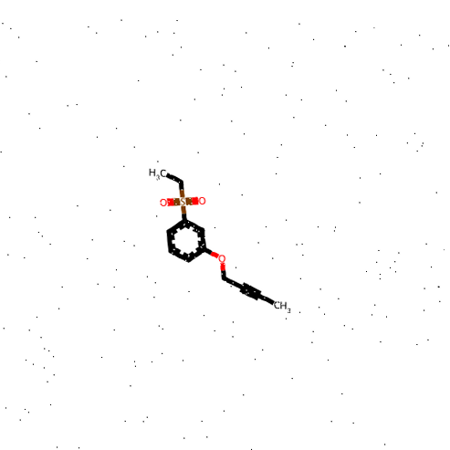 CC#CCOc1cccc(S(=O)(=O)CC)c1